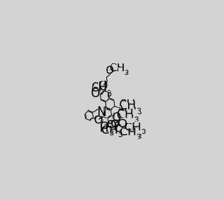 COCCCOc1cc2c(cc1OC)-c1c(c(OC(=O)OC(C)(C)C)c(C(=O)OC)c(=O)n1Cc1ccccc1)C(C(C)C)C2